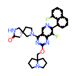 O=C1C[C@@]2(CCN(c3nc(OCC45CCCN4CCC5)nc4c(F)c(-c5cccc6cccc(F)c56)ncc34)C2)CN1